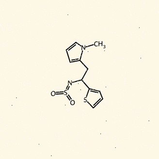 Cn1cccc1CC(N=S(=O)=O)c1cccs1